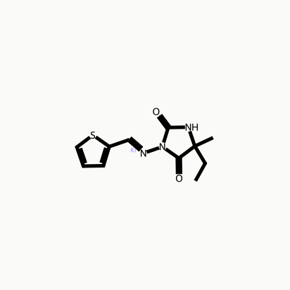 CCC1(C)NC(=O)N(/N=C/c2cccs2)C1=O